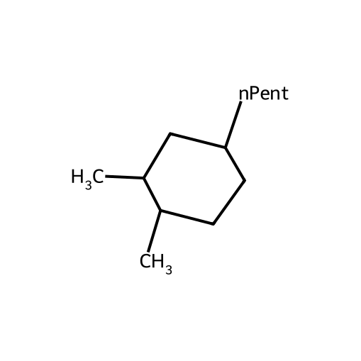 C[CH]CCCC1CCC(C)C(C)C1